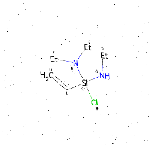 C=C[Si](Cl)(NCC)N(CC)CC